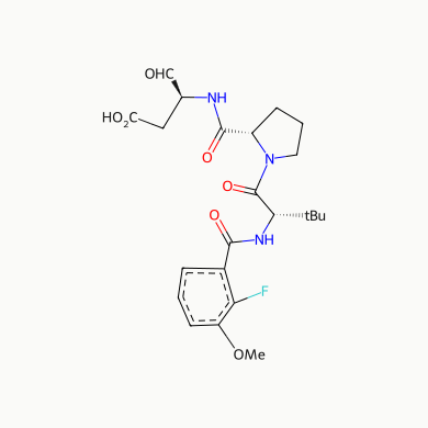 COc1cccc(C(=O)N[C@H](C(=O)N2CCC[C@H]2C(=O)N[C@H](C=O)CC(=O)O)C(C)(C)C)c1F